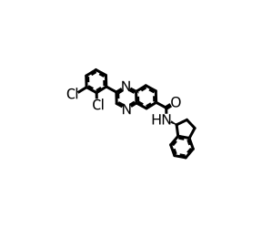 O=C(N[C@H]1CCc2ccccc21)c1ccc2nc(-c3cccc(Cl)c3Cl)cnc2c1